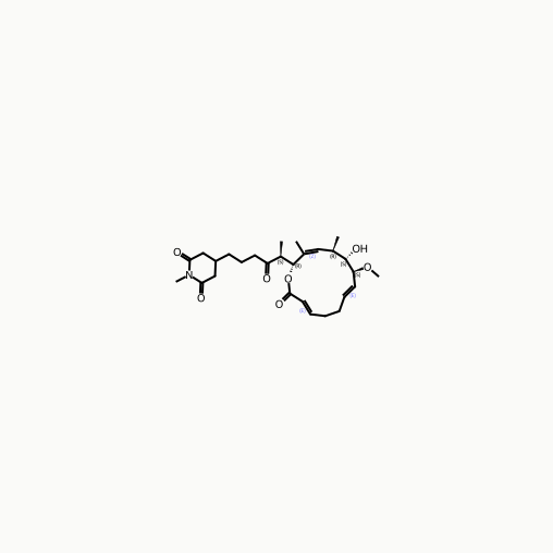 CO[C@H]1/C=C/CC/C=C/C(=O)O[C@H]([C@H](C)C(=O)CCCC2CC(=O)N(C)C(=O)C2)/C(C)=C\[C@@H](C)[C@@H]1O